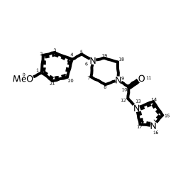 COc1ccc(CN2CCN(C(=O)Cn3ccnc3)CC2)cc1